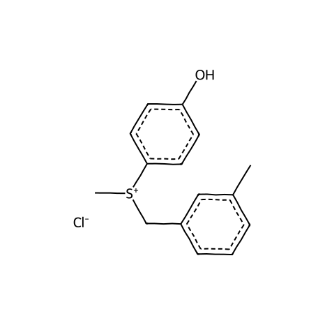 Cc1cccc(C[S+](C)c2ccc(O)cc2)c1.[Cl-]